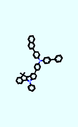 CC1(C)c2ccccc2-c2c1c1cc(-c3ccc(N(C4=CCC(c5ccc6ccccc6c5)C=C4)c4ccc(-c5ccccc5)cc4)cc3)ccc1n2-c1ccccc1